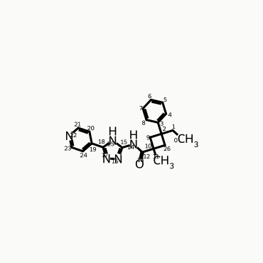 CCC1(c2ccccc2)CC(C)(C(=O)Nc2nnc(-c3ccncc3)[nH]2)C1